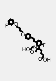 Cc1c(CCCC(=O)O)c2c(F)ccc(/C=C/c3ccc(OC/C=C/COc4cccc(F)c4)cc3)c2n1CC(=O)O